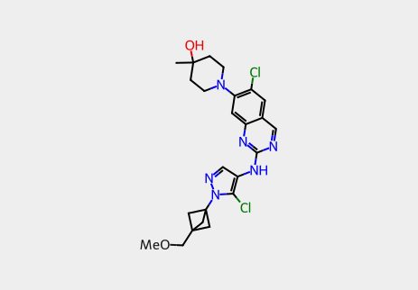 COCC12CC(n3ncc(Nc4ncc5cc(Cl)c(N6CCC(C)(O)CC6)cc5n4)c3Cl)(C1)C2